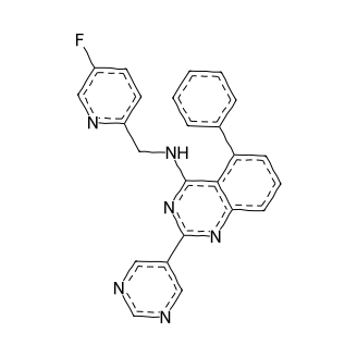 Fc1ccc(CNc2nc(-c3cncnc3)nc3cccc(-c4ccccc4)c23)nc1